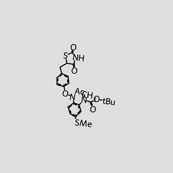 CSc1ccc(N(Oc2ccc(CC3SC(=O)NC3=O)cc2)C(C)=O)c(N(C)C(=O)OC(C)(C)C)c1